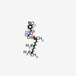 COC(=O)[C@H](CSC/C=C(\C)CC/C=C(\C)CCC=C(C)C)NC(=O)c1ccc([N+](=O)[O-])cc1